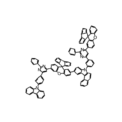 c1ccc(-c2nc(-c3ccc(-n4c5ccccc5c5ccccc54)cc3)cc(-c3ccc4c(c3)Oc3ccc(-c5ccc6c(c5)c5c7ccccc7ccc5n6-c5cccc(-c6cc(-c7ccc8c(c7)C7(c9ccccc9O8)c8ccccc8-c8ccccc87)nc(-c7ccccc7)n6)c5)cc3C43c4ccccc4-c4ccccc43)n2)cc1